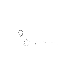 O=C(Cc1ccccc1Nc1c(Cl)cccc1Cl)OCCCCON(O)O